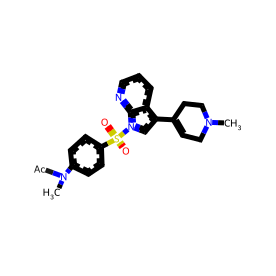 CC(=O)N(C)c1ccc(S(=O)(=O)n2cc(C3=CCN(C)CC3)c3cccnc32)cc1